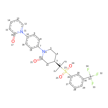 CC(C)([C@@H]1CCN(c2ccc(-n3ccccc3=O)cc2)C(=O)C1)S(=O)(=O)c1cccc(C(F)(F)F)c1